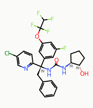 O=C(N[C@H]1CCC[C@@H]1O)N[C@@](Cc1ccccc1)(c1cc(F)cc(OC(F)(F)C(F)F)c1)c1ccc(Cl)cn1